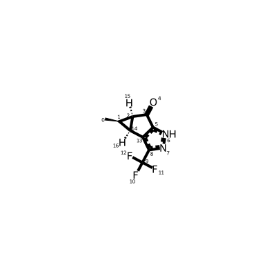 C[C@H]1[C@H]2C(=O)c3[nH]nc(C(F)(F)F)c3[C@@H]12